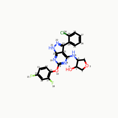 OC1COCC1Nc1nc(Oc2ccc(F)cc2F)nc2[nH]nc(-c3ccccc3Cl)c12